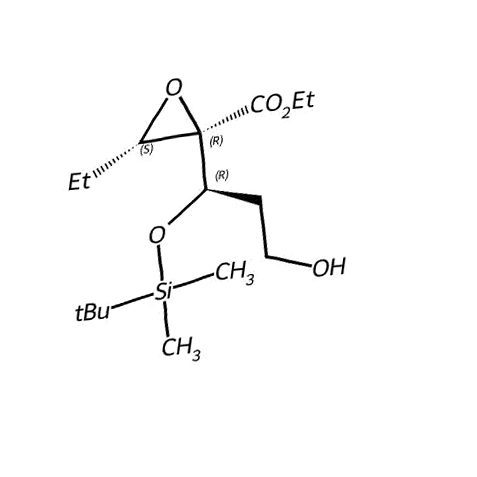 CCOC(=O)[C@@]1([C@@H](CCO)O[Si](C)(C)C(C)(C)C)O[C@H]1CC